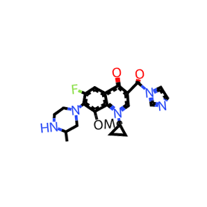 COc1c(N2CCNC(C)C2)c(F)cc2c(=O)c(C(=O)n3ccnc3)cn(C3CC3)c12